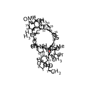 C=CC(=O)N1CCO[C@H]2CCN(C(=O)N(C)C(C(=O)N[C@@]3(SC)Cc4nc(cs4)-c4ccc5c(c4)c(c(-c4cccnc4[C@H](C)OC)n5CC)CC(C)(C)COC(=O)[C@@]4(S)CCCN(N4)C3=O)C(C)C)C[C@H]21